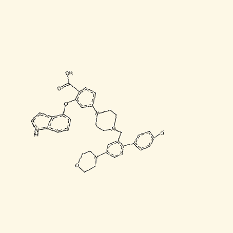 O=C(O)c1ccc(N2CCN(Cc3cc(N4CCOCC4)ccc3-c3ccc(Cl)cc3)CC2)cc1Oc1cccc2[nH]ccc12